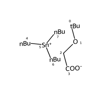 CC(C)(C)OCC(=O)[O-].CCC[CH2][Sn+]([CH2]CCC)[CH2]CCC